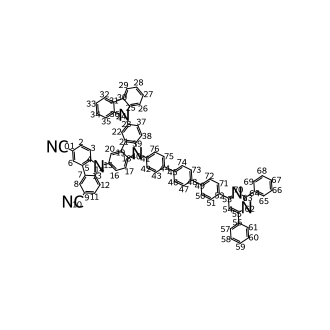 N#Cc1ccc2c(c1)c1cc(C#N)ccc1n2-c1ccc2c(c1)c1cc(-n3c4ccccc4c4ccccc43)ccc1n2-c1ccc(-c2ccc(-c3ccc(-c4cc(-c5ccccc5)nc(-c5ccccc5)n4)cc3)cc2)cc1